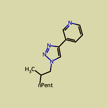 CCCCCC(C)Cn1cc(-c2cccnc2)nn1